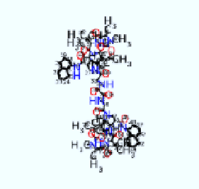 C[C@@H](C(=O)N[C@H](C(=O)N1CC[C@@H]2[C@H]1[C@@H](C(=O)Nc1cccc3ccccc13)CN2C(=O)CNC(=O)C(=O)NCC(=O)N1C[C@H](C(=O)Nc2cccc3ccccc23)[C@@H]2[C@H]1CCN2C(=O)[C@@H](NC(=O)[C@H](C)N(C)C(=O)OC(C)(C)C)C(C)(C)C)C(C)(C)C)N(C)C(=O)OC(C)(C)C